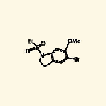 CCS(=O)(=O)N1CCc2cc(Br)c(OC)cc21